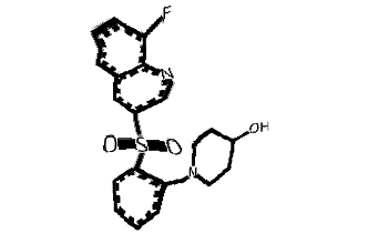 O=S(=O)(c1cnc2c(F)cccc2c1)c1ccccc1N1CCC(O)CC1